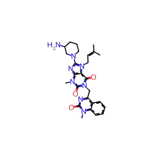 CC(C)=CCn1c(N2CCCC(N)C2)nc2c1c(=O)n(Cc1nc(=O)n(C)c3ccccc13)c(=O)n2C